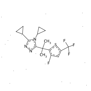 CC(C)(c1sc(C(F)(F)F)cc1F)c1nnc(C2CC2)n1C1CC1